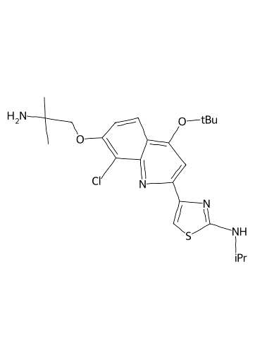 CC(C)Nc1nc(-c2cc(OC(C)(C)C)c3ccc(OCC(C)(C)N)c(Cl)c3n2)cs1